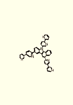 c1ccc(-c2ccc(-n3c4ccc(-c5ccc(-c6cccnc6)cn5)cc4c4cc(-c5ccc(-c6cccnc6)cn5)c5ccccc5c43)cn2)nc1